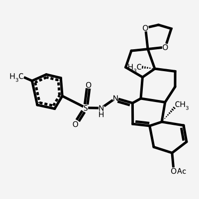 CC(=O)OC1C=C[C@@]2(C)C(=CC(=NNS(=O)(=O)c3ccc(C)cc3)C3C2CC[C@@]2(C)C3CCC23OCCO3)C1